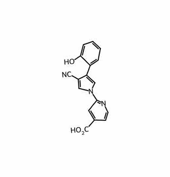 N#Cc1cn(-c2cc(C(=O)O)ccn2)cc1-c1ccccc1O